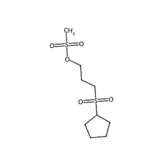 CS(=O)(=O)OCCCS(=O)(=O)C1CCCC1